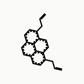 C=CCc1ccc2ccc3ccc(CC=C)c4ccc1c2c34